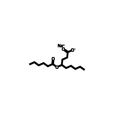 CCCCCC(=O)OC(CCCCC)CCC(=O)[O-].[Na+]